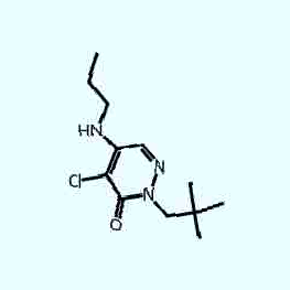 CCCNc1cnn(CC(C)(C)C)c(=O)c1Cl